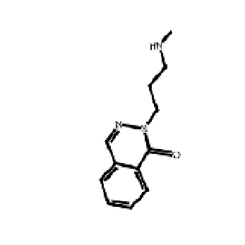 CNCCCn1ncc2ccccc2c1=O